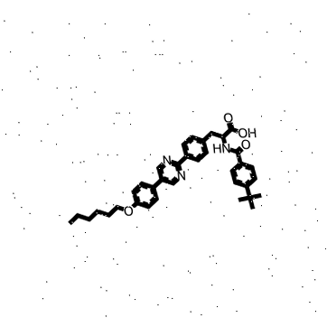 CCCCCCOc1ccc(-c2cnc(-c3ccc(CC(NC(=O)c4ccc(C(C)(C)C)cc4)C(=O)O)cc3)nc2)cc1